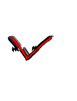 Cl.Cl.Cl.Cl.Cl.Cl.Cl.Cl.[Cl-].[Cl-].[Cl-].[Cl-].[Cl-].[Cl-].[Cl-].[Cl-].[Cl-].[Cl-].[Cl-].[Cl-].[Cl-].[Cl-].[Cl-].[Cl-].[Cl-].[Cl-].[Cl-].[Cl-].[Cl-].[Cl-].[Cl-].[Cl-].[Cl-].[Cl-].[Cl-].[Cl-].[Cl-].[Cl-].[Cl-].[Cl-].[Cl-].[Cl-].[Cl-].[Cl-].[Cl-].[Cl-].[Cl-].[Cl-].[Li+].[Li+].[Li+].[Li+].[Li+].[Li+].[Li+].[Li+].[Li+].[Li+].[Li+].[Li+].[Li+].[Li+].[Li+].[Li+].[Li+].[Li+].[Li+].[Li+].[Li+].[Li+].[Li+].[Li+].[Li+].[Li+].[Li+].[Li+].[Li+].[Li+].[Li+].[Li+].[Li+].[Li+].[Li+].[Li+].[Li+].[Li+].[Li+].[Li+]